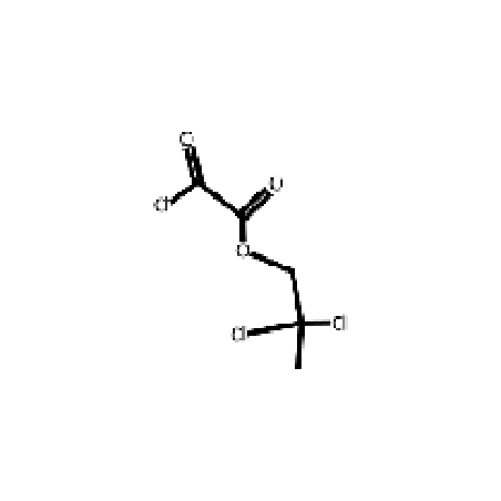 CC(Cl)(Cl)COC(=O)C(=O)Cl